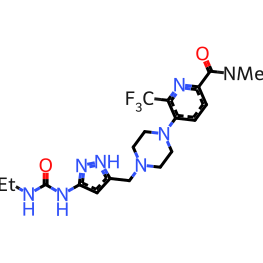 CCNC(=O)Nc1cc(CN2CCN(c3ccc(C(=O)NC)nc3C(F)(F)F)CC2)[nH]n1